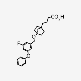 O=C(O)CCCC12CCC(OCc3cc(F)cc(Oc4ccccc4)c3)(CC1)C2